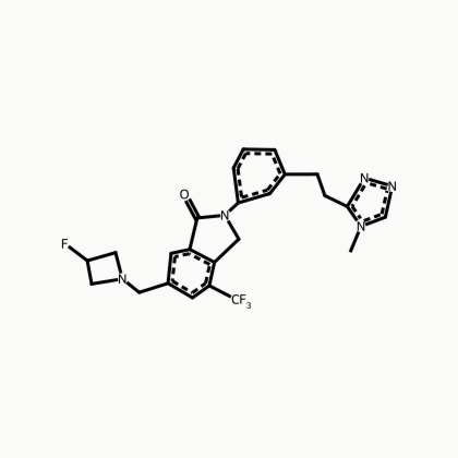 Cn1cnnc1CCc1cccc(N2Cc3c(cc(CN4CC(F)C4)cc3C(F)(F)F)C2=O)c1